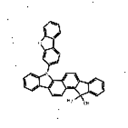 CC1(C)c2ccccc2-c2ccc3c(ccc4c5ccccc5n(-c5ccc6c(c5)oc5ccccc56)c34)c21